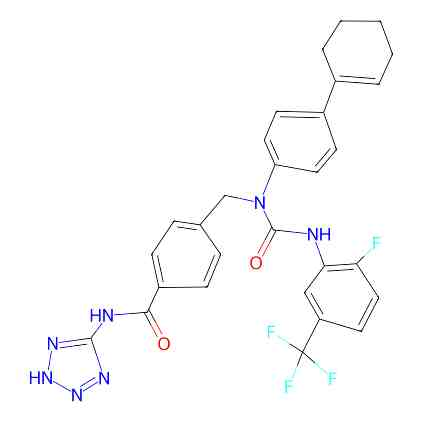 O=C(Nc1nn[nH]n1)c1ccc(CN(C(=O)Nc2cc(C(F)(F)F)ccc2F)c2ccc(C3=CCCCC3)cc2)cc1